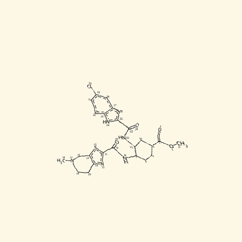 COC(=O)C1CCC(NC(=O)c2nc3c(s2)CN(C)CC3)C(NC(=O)c2cc3cc(Cl)ccc3[nH]2)C1